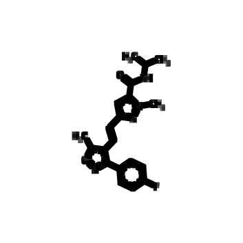 Cc1onc(-c2ccc(F)cc2)c1C=Cc1cc(C(=O)NC(C)C)n(C)n1